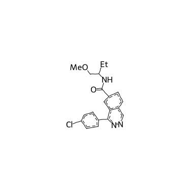 CCC(COC)NC(=O)c1ccc2cnnc(-c3ccc(Cl)cc3)c2c1